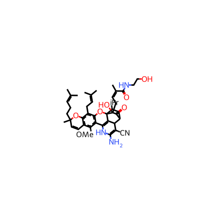 COc1c2c(c(CC=C(C)C)c3c1C1=C4C(C(C#N)=C(N)N1)C1CC(C(C)C)C4(O3)C(O)(C/C=C(/C)C(=O)NCCO)C1=O)OC(C)(CCC=C(C)C)C=C2